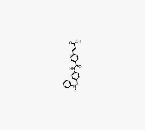 CN(Sc1ccc(NC(=O)c2ccc(/C=C/C(=O)O)cc2)cc1)c1ccccc1